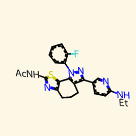 CCNc1ccc(-c2nn(-c3ccccc3F)c3c2CCCc2nc(NC(C)=O)sc2-3)cn1